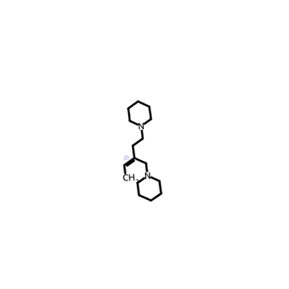 C/C=C(/CCN1CCCCC1)CN1CCCCC1